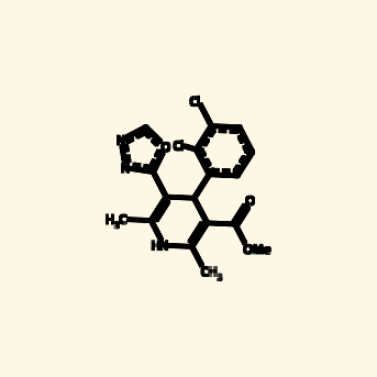 COC(=O)C1=C(C)NC(C)=C(c2nnco2)C1c1cccc(Cl)c1Cl